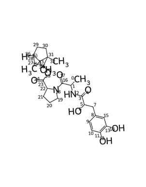 CC(NC(=O)C(O)Cc1ccc(O)c(O)c1)C(=O)N1CCCC1C(=O)OC1C[C@@H]2CCC1(C)C2(C)C